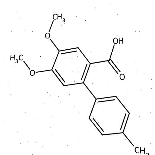 COc1cc(C(=O)O)c(-c2ccc(C)cc2)cc1OC